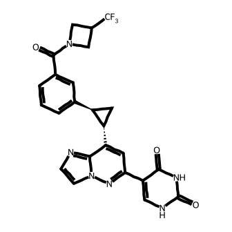 O=C(c1cccc([C@H]2C[C@@H]2c2cc(-c3c[nH]c(=O)[nH]c3=O)nn3ccnc23)c1)N1CC(C(F)(F)F)C1